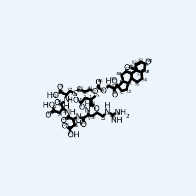 CC(CC(=O)O)C(=O)NC(CCCNC(=N)N)C(=O)NC(CC(=O)O)C(=O)NC(CC(=O)O)C(=O)NC(CSSCCOC(=O)OCC(=O)C1(O)CCC2C3CCC4=CC(=O)C=CC4(C)C3C(O)CC21)C(=O)O